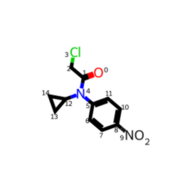 O=C(CCl)N(c1ccc([N+](=O)[O-])cc1)C1CC1